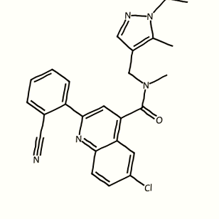 CCn1ncc(CN(C)C(=O)c2cc(-c3ccccc3C#N)nc3ccc(Cl)cc23)c1C